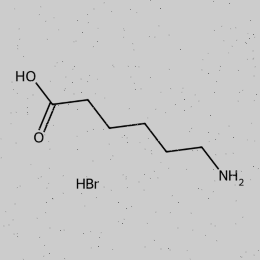 Br.NCCCCCC(=O)O